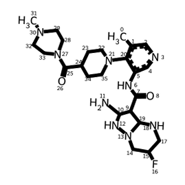 Cc1cncc(NC(=O)C2C(N)NN3CC(F)CNC23)c1N1CCC(C(=O)N2CCN(C)CC2)CC1